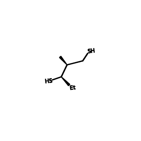 CC[C@@H](S)[C@@H](C)CS